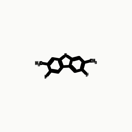 Cc1cc2sc3cc(C)c(F)cc3c2cc1F